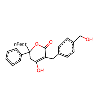 CCCCCC1(c2ccccc2)CC(O)=C(Cc2ccc(CO)cc2)C(=O)O1